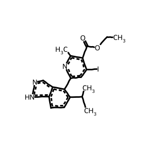 CCOC(=O)c1c(I)cc(-c2c(C(C)C)ccc3[nH]ncc23)nc1C